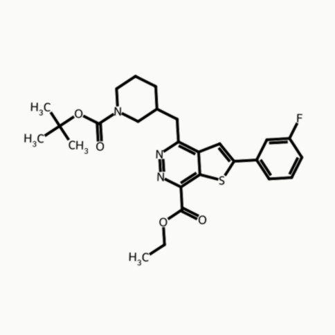 CCOC(=O)c1nnc(CC2CCCN(C(=O)OC(C)(C)C)C2)c2cc(-c3cccc(F)c3)sc12